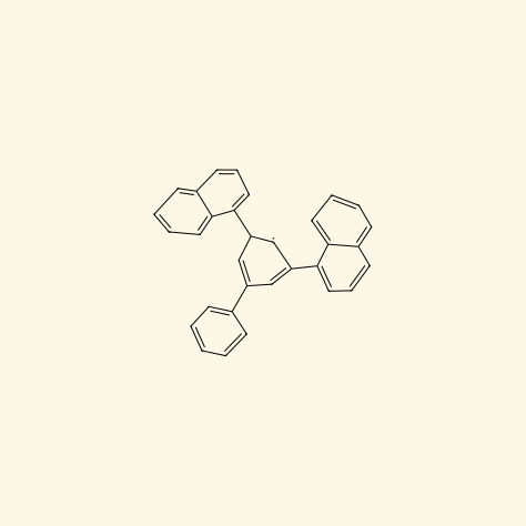 [CH]1C(c2cccc3ccccc23)=CC(c2ccccc2)=CC1c1cccc2ccccc12